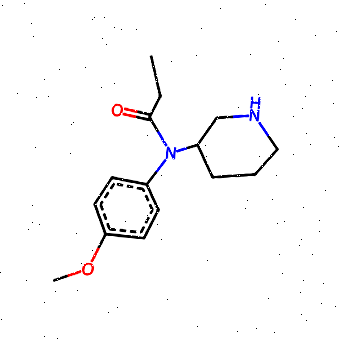 CCC(=O)N(c1ccc(OC)cc1)C1CCCNC1